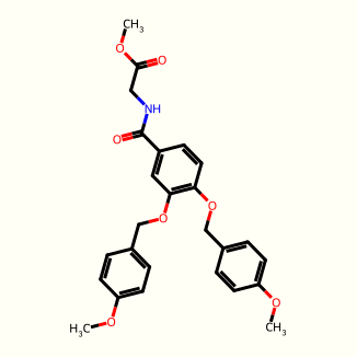 COC(=O)CNC(=O)c1ccc(OCc2ccc(OC)cc2)c(OCc2ccc(OC)cc2)c1